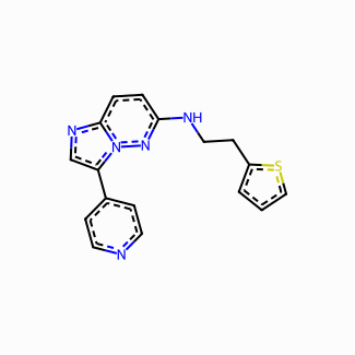 c1csc(CCNc2ccc3ncc(-c4ccncc4)n3n2)c1